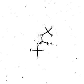 N/C(=N\C(F)(F)F)NC(F)(F)F